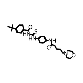 CC(C)(C)c1ccc(C(=O)NC(=S)Nc2ccc(NC(=O)CCCCN3CCOCC3)cc2)cc1